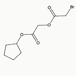 O=C(CBr)OCC(=O)OC1CCCC1